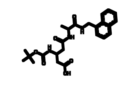 CC(NC(=O)CC(CC(=O)O)NC(=O)OC(C)(C)C)C(=O)NCc1cccc2ccccc12